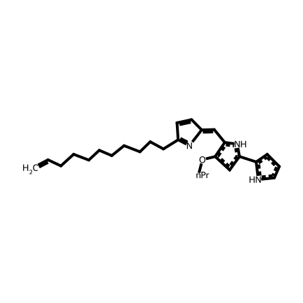 C=CCCCCCCCCCC1=NC(=Cc2[nH]c(-c3ccc[nH]3)cc2OCCC)C=C1